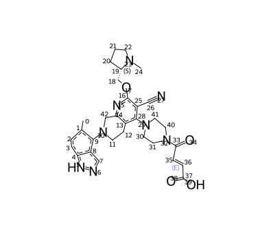 Cc1ccc2[nH]ncc2c1N1CCc2c(nc(OC[C@@H]3CCCN3C)c(C#N)c2N2CCN(C(=O)/C=C/C(=O)O)CC2)C1